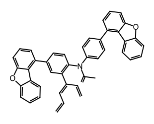 C=C/C=C(\C=C)c1cc(-c2cccc3oc4ccccc4c23)ccc1N(C(=C)C)c1ccc(-c2cccc3oc4ccccc4c23)cc1